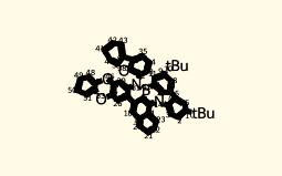 CC(C)(C)c1ccc2c(c1)c1cc(C(C)(C)C)cc3c1n2-c1c2c(cc4ccccc14)-c1cc4c(cc1N(c1cccc5c1oc1ccccc15)B23)Oc1ccccc1O4